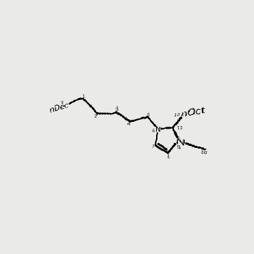 CCCCCCCCCCCCCCCN1C=CN(C)C1CCCCCCCC